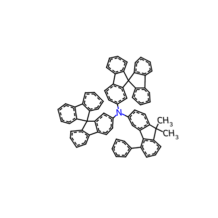 CC1(C)c2ccc(N(c3ccc4c(c3)C3(c5ccccc5-c5ccccc53)c3ccccc3-4)c3ccc4c(c3)C3(c5ccccc5-c5ccccc53)c3ccccc3-4)cc2-c2c(-c3ccccc3)cccc21